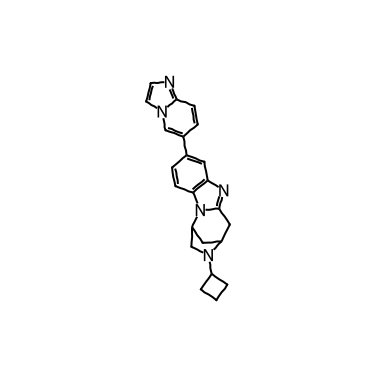 c1cn2cc(-c3ccc4c(c3)nc3n4C4CC(C3)N(C3CCC3)C4)ccc2n1